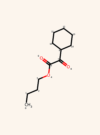 CCCCOC(=O)C(=O)C1CCCCC1